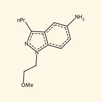 CCCc1nn(CCOC)c2ccc(N)cc12